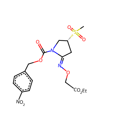 CCOC(=O)CON=C1C[C@@H](S(C)(=O)=O)CN1C(=O)OCc1ccc([N+](=O)[O-])cc1